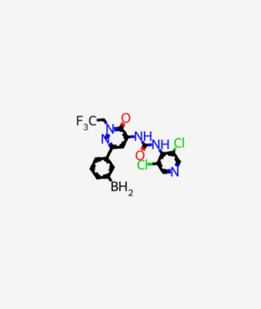 Bc1cccc(-c2cc(NC(=O)Nc3c(Cl)cncc3Cl)c(=O)n(CC(F)(F)F)n2)c1